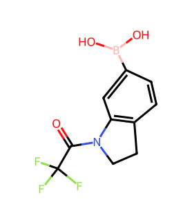 O=C(N1CCc2ccc(B(O)O)cc21)C(F)(F)F